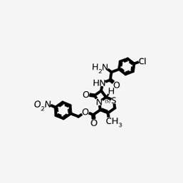 CC1=C(C(=O)OCc2ccc([N+](=O)[O-])cc2)N2C(=O)C(NC(=O)C(N)c3ccc(Cl)cc3)[C@@H]2SC1